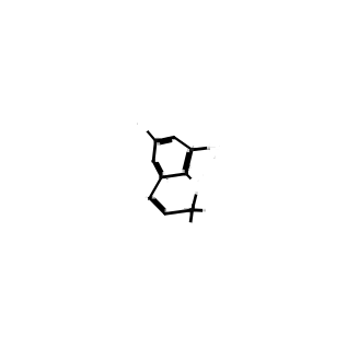 Cc1cc(Br)c2c(c1)C=CC(I)(C(F)(F)F)O2